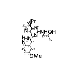 COc1ccc(N)c(CNc2nc(NCC(C)O)nc3c2ncn3C(C)C)c1